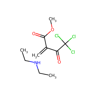 C=C(C(=O)OC)C(=O)C(Cl)(Cl)Cl.CCNCC